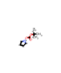 CC(C)(C)OC(=O)ON1CCCC1